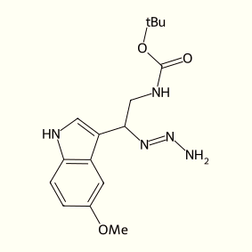 COc1ccc2[nH]cc(C(CNC(=O)OC(C)(C)C)N=NN)c2c1